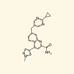 Cn1cc(-c2cc(C(N)=O)nc3cc(Cc4cnc(C5CC5)nc4)ccc23)cn1